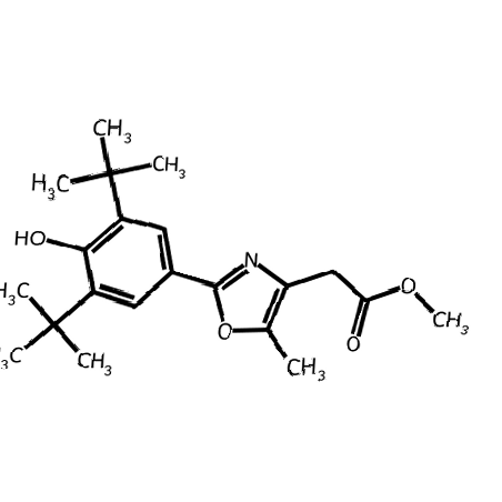 COC(=O)Cc1nc(-c2cc(C(C)(C)C)c(O)c(C(C)(C)C)c2)oc1C